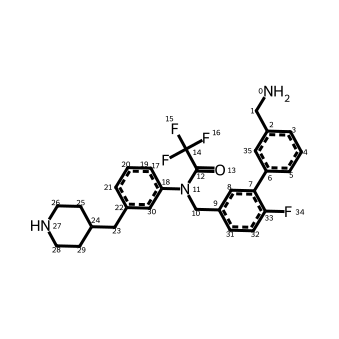 NCc1cccc(-c2cc(CN(C(=O)C(F)(F)F)c3cccc(CC4CCNCC4)c3)ccc2F)c1